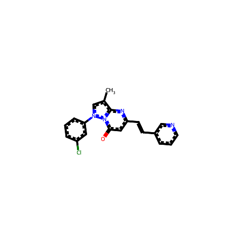 Cc1cn(-c2cccc(Cl)c2)n2c(=O)cc(/C=C/c3cccnc3)nc12